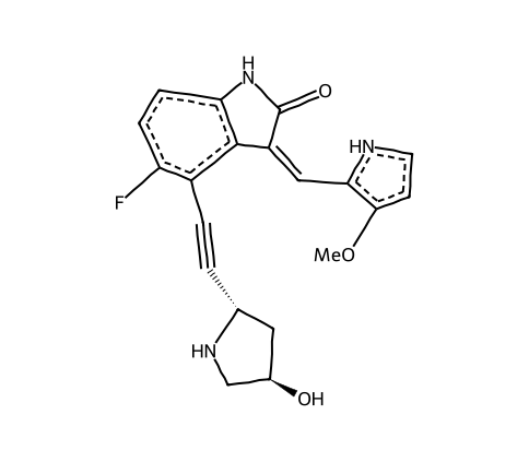 COc1cc[nH]c1C=C1C(=O)Nc2ccc(F)c(C#C[C@@H]3C[C@@H](O)CN3)c21